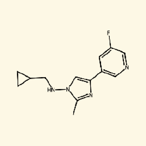 Cc1nc(-c2cncc(F)c2)cn1NCC1CC1